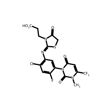 Cn1c(C(F)(F)F)cc(=O)n(-c2cc(N=C3SCC(=O)N3CCC(=O)O)c(Cl)cc2F)c1=O